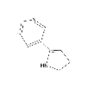 [c]1cncc(C2=CCCN2)c1